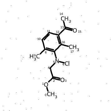 COC(=O)CN(Cl)c1c(C)ccc(C(C)=O)c1C